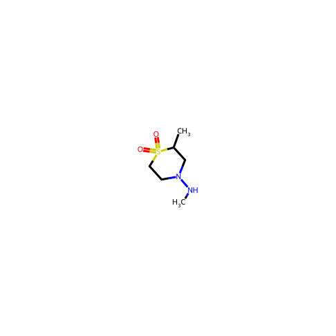 CNN1CCS(=O)(=O)C(C)C1